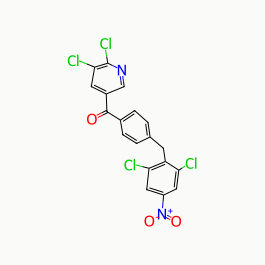 O=C(c1ccc(Cc2c(Cl)cc([N+](=O)[O-])cc2Cl)cc1)c1cnc(Cl)c(Cl)c1